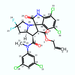 C=CCOC(=O)[C@H]1[C@@H](C(=O)N(C)c2cc(Cl)cc(Cl)c2)[C@H]2CC(F)(F)CN2[C@]12C(=O)Nc1c(Cl)cc(Cl)cc12